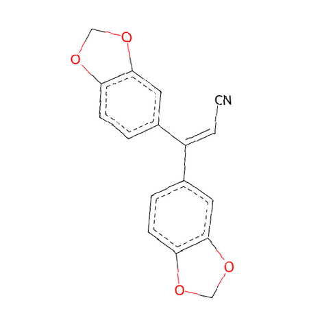 N#CC=C(c1ccc2c(c1)OCO2)c1ccc2c(c1)OCO2